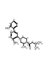 CC1CN(c2cc(-c3ccccc3O)nnc2N)CCN1C(=O)CN(C)C